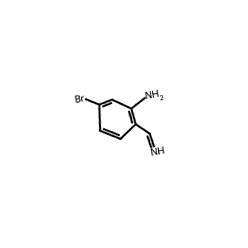 N=Cc1ccc(Br)cc1N